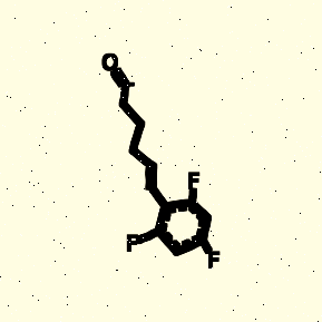 O=[C]CCC/C=C/c1c(F)cc(F)cc1F